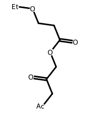 CCOCCC(=O)OCC(=O)CC(C)=O